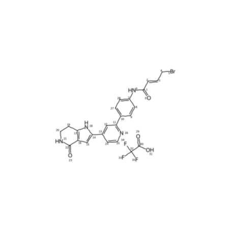 O=C(C=CCBr)Nc1ccc(-c2cc(-c3cc4c([nH]3)CCNC4=O)ccn2)cc1.O=C(O)C(F)(F)F